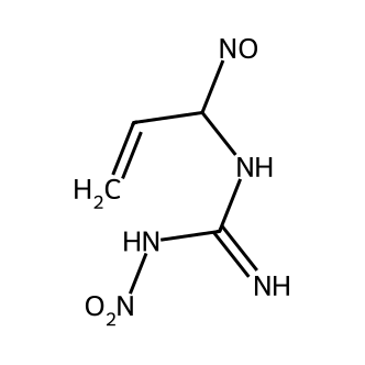 C=CC(N=O)NC(=N)N[N+](=O)[O-]